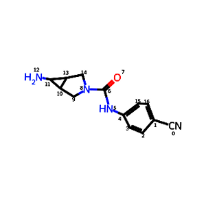 N#Cc1ccc(NC(=O)N2CC3C(N)C3C2)cc1